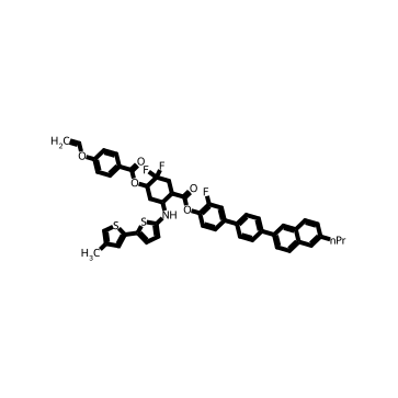 C=COc1ccc(C(=O)OC2CC(Nc3ccc(-c4cc(C)cs4)s3)C(C(=O)Oc3ccc(-c4ccc(-c5ccc6cc(CCC)ccc6c5)cc4)cc3F)CC2(F)F)cc1